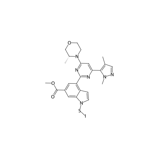 COC(=O)c1cc(-c2nc(-c3c(C)cnn3C)cc(N3CCOC[C@H]3C)n2)c2ccn(SI)c2c1